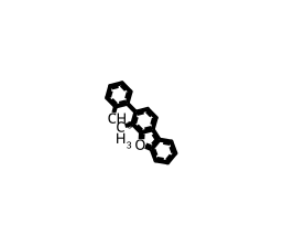 Cc1ccccc1-c1ccc2c(oc3ccccc32)c1C